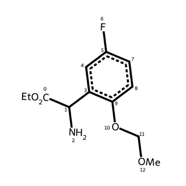 CCOC(=O)C(N)c1cc(F)ccc1OCOC